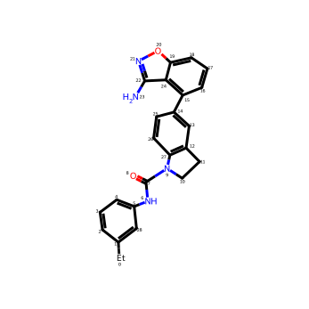 CCc1cccc(NC(=O)N2CCc3cc(-c4cccc5onc(N)c45)ccc32)c1